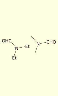 CCN(C=O)CC.CN(C)C=O